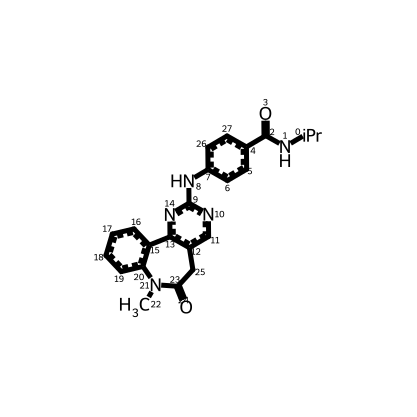 CC(C)NC(=O)c1ccc(Nc2ncc3c(n2)-c2ccccc2N(C)C(=O)C3)cc1